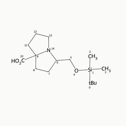 CC(C)(C)[Si](C)(C)OCC1CCC2(C(=O)O)CCCN12